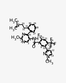 Cc1ncc(NC(=O)c2cc(-c3ccn(C)n3)c(C(F)(F)F)cc2F)c(-c2ccccc2CCN(C)C)n1